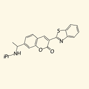 CC(C)NC(C)c1ccc2cc(-c3nc4ccccc4s3)c(=O)oc2c1